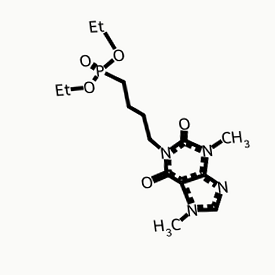 CCOP(=O)(CCCCn1c(=O)c2c(ncn2C)n(C)c1=O)OCC